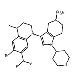 CC1CCN(c2nn(C3CCOCC3)c3c2CN(C(=O)O)CC3)c2cc(C(F)F)c(Br)cc21